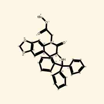 CC(C)(C)OC(=O)CN1C(=O)[C@@H](NC(c2ccccc2)(c2ccccc2)c2ccccc2)Cc2cc3c(cc21)OCO3